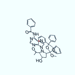 COC(OC)(OC(c1ccccc1)(c1ccccc1)c1ccccc1)C1CC(O)C(C(C)=O)N1n1cnc2c(NC(=O)c3ccccc3)ncnc21